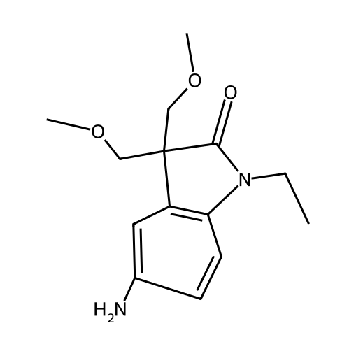 CCN1C(=O)C(COC)(COC)c2cc(N)ccc21